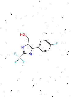 OCc1nc(C(F)(F)F)[nH]c1-c1ccc(F)cc1